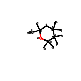 CCCCC1(C)C[Si](C)(C)[Si](C)(C)[Si](C)(C)O1